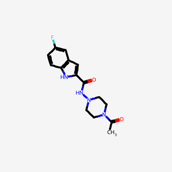 CC(=O)N1CCN(NC(=O)c2cc3cc(F)ccc3[nH]2)CC1